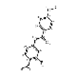 COc1ccc(C(=O)Oc2ccc(OC)c(F)c2)cc1